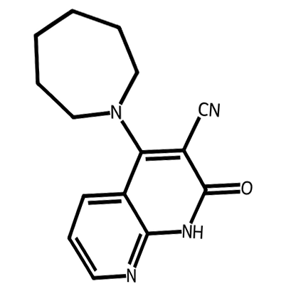 N#Cc1c(N2CCCCCC2)c2cccnc2[nH]c1=O